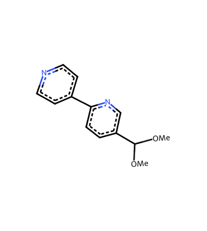 COC(OC)c1ccc(-c2ccncc2)nc1